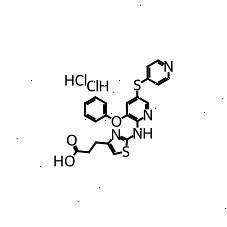 Cl.Cl.O=C(O)CCc1csc(Nc2ncc(Sc3ccncc3)cc2Oc2ccccc2)n1